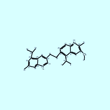 COc1cc2c(C(C)C)c(CCc3cnc4cc(C)cc(C(C)C)c4c3)ccc2nc1C